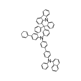 C1=CC(c2ccc(N(c3ccc(-c4ccc(N(c5ccccc5)c5cccc6ccccc56)cc4)cc3)c3cccc(C4(c5ccccc5)c5ccccc5-n5c6ccccc6c6cccc4c65)c3)cc2)=CCC1